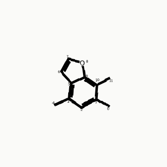 Cc1cc(C)c2ccoc2c1C